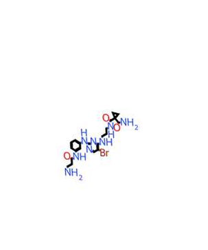 NCCC(=O)Nc1cccc(Nc2ncc(Br)c(NCCCNC(=O)C3(C(N)=O)CC3)n2)c1